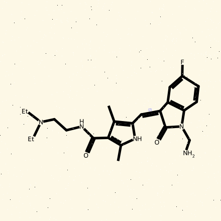 CCN(CC)CCNC(=O)c1c(C)[nH]c(/C=C2\C(=O)N(CN)c3ccc(F)cc32)c1C